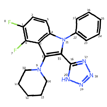 Fc1ccc2c(c1F)c(N1CCCCC1)c(-c1nnn[nH]1)n2-c1ccccc1